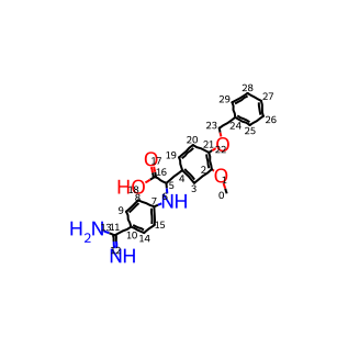 COc1cc(C(Nc2ccc(C(=N)N)cc2)C(=O)O)ccc1OCc1ccccc1